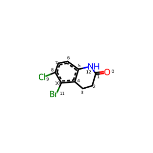 O=C1CCc2c(ccc(Cl)c2Br)N1